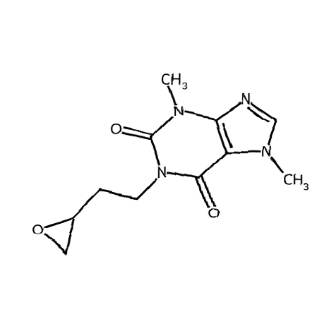 Cn1cnc2c1c(=O)n(CCC1CO1)c(=O)n2C